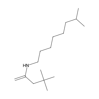 C=C(CC(C)(C)C)NCCCCCCC(C)C